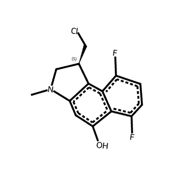 CN1C[C@@H](CCl)c2c1cc(O)c1c(F)ccc(F)c21